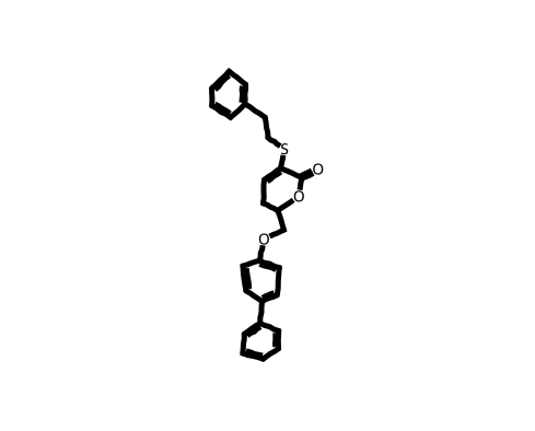 O=C1OC(COc2ccc(-c3ccccc3)cc2)CC=C1SCCc1ccccc1